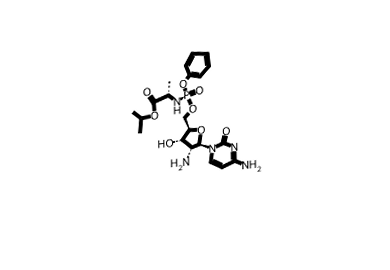 CC(C)OC(=O)[C@H](C)N[P@@](=O)(OC[C@H]1O[C@@H](n2ccc(N)nc2=O)[C@H](N)[C@@H]1O)Oc1ccccc1